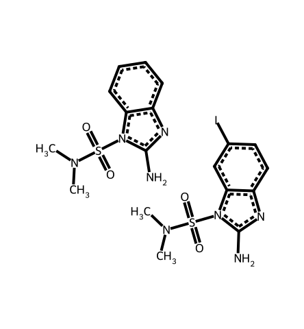 CN(C)S(=O)(=O)n1c(N)nc2ccc(I)cc21.CN(C)S(=O)(=O)n1c(N)nc2ccccc21